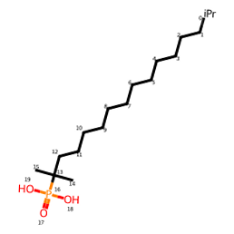 CC(C)CCCCCCCCCCCCC(C)(C)P(=O)(O)O